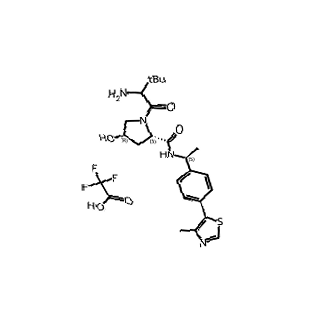 Cc1ncsc1-c1ccc([C@H](C)NC(=O)[C@@H]2C[C@@H](O)CN2C(=O)C(N)C(C)(C)C)cc1.O=C(O)C(F)(F)F